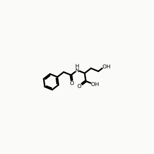 O=C(Cc1ccccc1)NC(CCO)C(=O)O